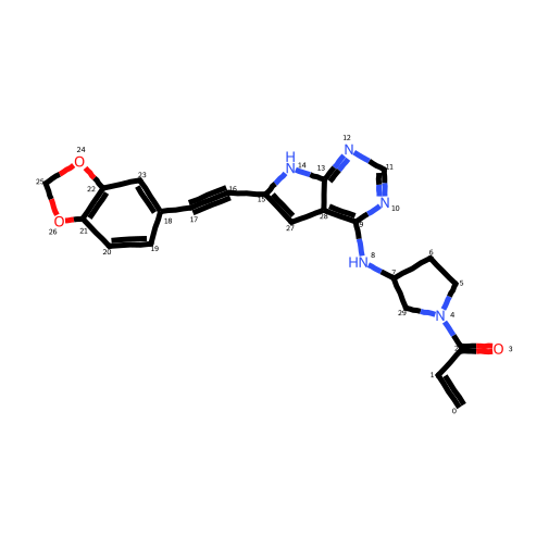 C=CC(=O)N1CCC(Nc2ncnc3[nH]c(C#Cc4ccc5c(c4)OCO5)cc23)C1